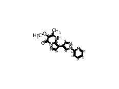 COc1c(C)[nH]c2c(-c3cnn(-c4ccccn4)c3)cnn2c1=O